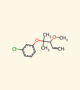 [CH]=CC(OC)C(C)(C)Oc1cccc(Cl)c1